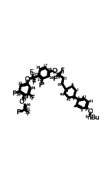 CCCCOc1ccc(C2CCC(CCC(F)(F)Oc3ccc(C(F)(F)Oc4cc(F)c(OC=C(F)F)c(F)c4)c(F)c3)CC2)cc1